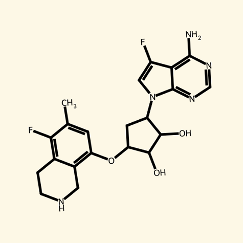 Cc1cc(OC2CC(n3cc(F)c4c(N)ncnc43)C(O)C2O)c2c(c1F)CCNC2